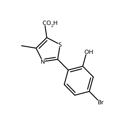 Cc1nc(-c2ccc(Br)cc2O)sc1C(=O)O